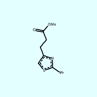 COC(=O)CCc1csc(C(C)C)n1